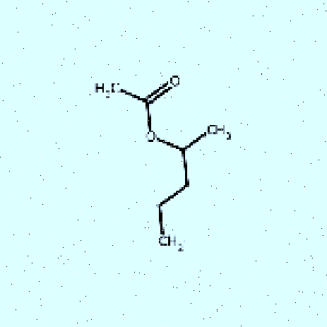 [CH2]CCC(C)OC(C)=O